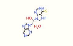 O.OC(Cn1cnc2cncnc21)N1CNc2c1nc[nH]c2=S